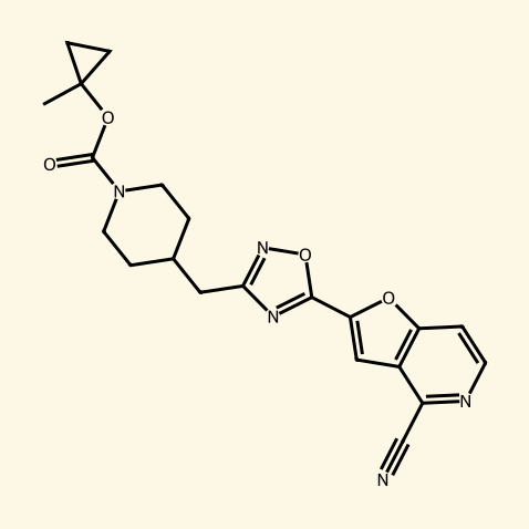 CC1(OC(=O)N2CCC(Cc3noc(-c4cc5c(C#N)nccc5o4)n3)CC2)CC1